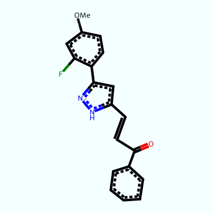 COc1ccc(-c2cc(C=CC(=O)c3ccccc3)[nH]n2)c(F)c1